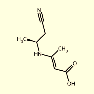 C/C(=C\C(=O)O)N[C@@H](C)CC#N